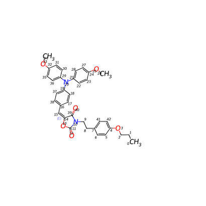 CCCOc1ccc(CCN2C(=O)O/C(=C/c3ccc(N(c4ccc(OC)cc4)c4ccc(OC)cc4)cc3)C2=O)cc1